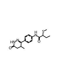 CCC(SC)C(=O)Nc1ccc(C2=NNC(=O)CC2C)cc1